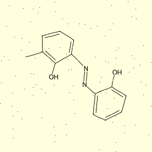 Cc1cccc(N=Nc2ccccc2O)c1O